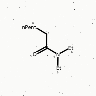 CCCCCCC(=O)N(CC)CC